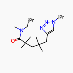 CC(C)CN(C)C(=O)C(C)(C)CC(C)(C)Cc1cn(C(C)C)nn1